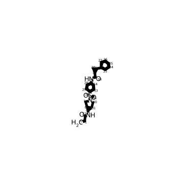 C=CC(=O)NC1C2CN(S(=O)(=O)c3ccc(NC(=O)C4CC4c4ccccc4)cc3)CC21